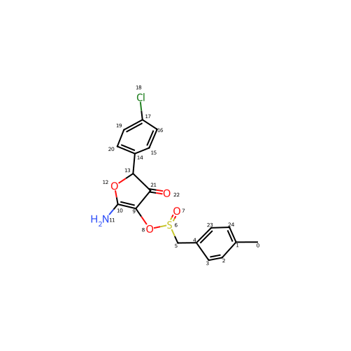 Cc1ccc(CS(=O)OC2=C(N)OC(c3ccc(Cl)cc3)C2=O)cc1